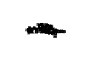 COC[C@@]1(O)CC[C@H]2[C@H](CC[C@@H]3[C@@H]2CC[C@]2(C)[C@@H](C(=O)Cn4cccc4)CC[C@@H]32)C1